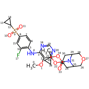 COc1c(Nc2ccc(S(=O)(=O)C3CC3)cc2F)ncnc1OC1CC2COCC(C1)N2C(=O)OC1(C)CC1